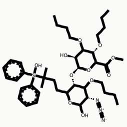 CCCCOC1[C@H](N=[N+]=[N-])C(O)OC(CCC(C)(C)[Si](O)(c2ccccc2)c2ccccc2)[C@@H]1O[C@@H]1OC(C(=O)OC)[C@@H](OCCCC)C(OCCCC)[C@@H]1O